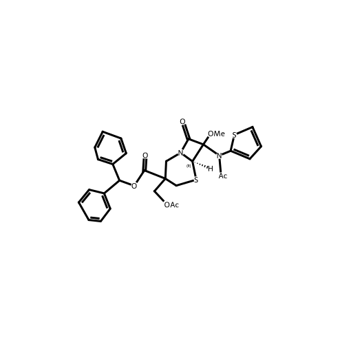 COC1(N(C(C)=O)c2cccs2)C(=O)N2CC(COC(C)=O)(C(=O)OC(c3ccccc3)c3ccccc3)CS[C@@H]21